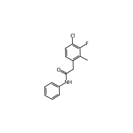 Cc1c(CC(=O)Nc2ccccc2)ccc(Cl)c1F